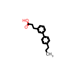 CCCc1ccc(-c2cccc(CCC(=O)O)c2)cc1